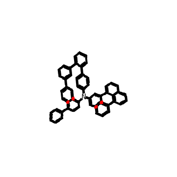 c1ccc(-c2ccc(N(c3ccc(-c4ccccc4-c4cccc(-c5ccccc5)c4)cc3)c3cccc(-c4cccc5cccc(-c6ccccc6)c45)c3)cc2)cc1